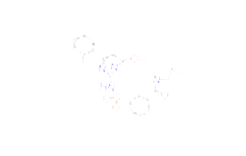 Cc1cccc(C)c1-c1cc2nc(n1)NS(=O)(=O)c1cccc(c1)C(=O)N1CC(C)(C)CC1CO2